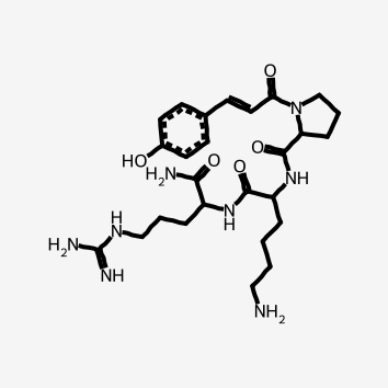 N=C(N)NCCCC(NC(=O)C(CCCCN)NC(=O)C1CCCN1C(=O)/C=C/c1ccc(O)cc1)C(N)=O